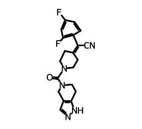 N#CC(=C1CCN(C(=O)N2CCc3[nH]ncc3C2)CC1)c1ccc(F)cc1F